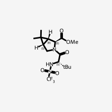 COC(=O)[C@@H]1[C@@H]2[C@H](CN1C(=O)[C@@H](NS(=O)(=O)C(F)(F)F)C(C)(C)C)C2(C)C